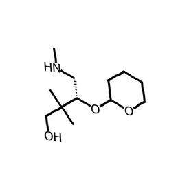 CNC[C@H](OC1CCCCO1)C(C)(C)CO